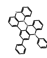 c1ccc(-c2cc3c4c(c2)N(c2ccccc2)c2ccccc2B4N2c4ccccc4Sc4cccc-3c42)cc1